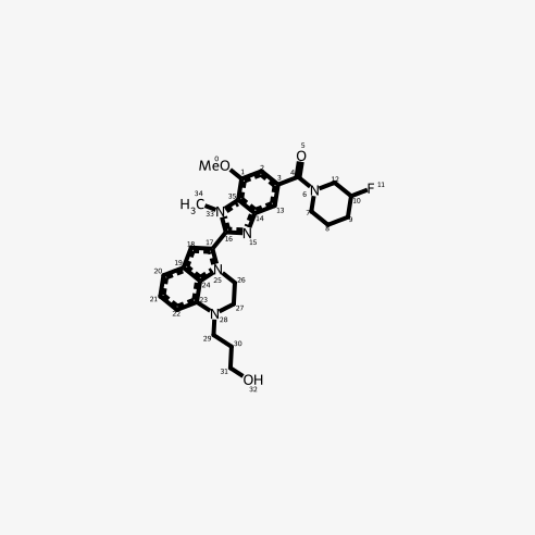 COc1cc(C(=O)N2CCCC(F)C2)cc2nc(-c3cc4cccc5c4n3CCN5CCCO)n(C)c12